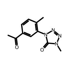 CC(=O)c1ccc(C)c(-n2nnn(C)c2=O)c1